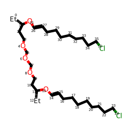 CCC(CCOCOCOCCC(CC)OC=CCCCCCCCCCl)OC=CCCCCCCCCCl